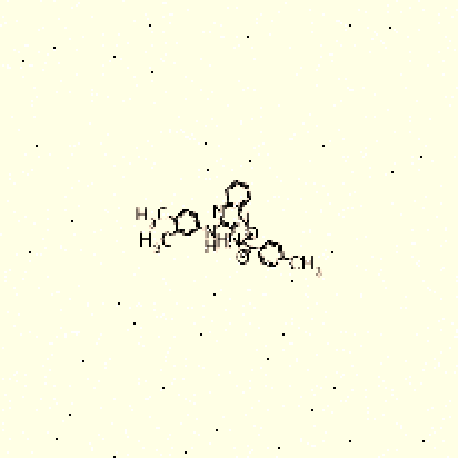 Cc1ccc(S(=O)(=O)Nc2nc3ccccc3nc2Nc2ccc(C)c(C)c2)cc1